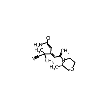 C=C(/C=C(\C=C(/N)Cl)C(C)(C)C#N)N1CCOC[C@H]1C